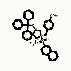 COc1ccc(C[N+]2(S(=O)(=O)c3ccc4ccccc4c3)C[C@H](SC(c3ccccc3)(c3ccccc3)C3C=CC=CC3)C[C@H]2C(=O)O)cc1